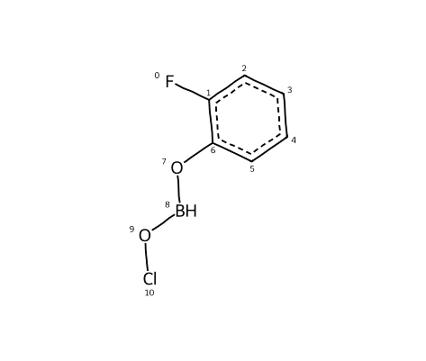 Fc1ccccc1OBOCl